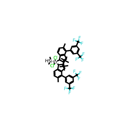 Cc1ccc2c(c1-c1cc(C(F)(F)F)cc(C(F)(F)F)c1)C=C(C(C)(C)C)[CH]2[Zr]([Cl])([Cl])([CH]1C(C(C)(C)C)=Cc2c1ccc(C)c2-c1cc(C(F)(F)F)cc(C(F)(F)F)c1)[SiH](C)C